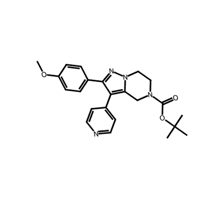 COc1ccc(-c2nn3c(c2-c2ccncc2)CN(C(=O)OC(C)(C)C)CC3)cc1